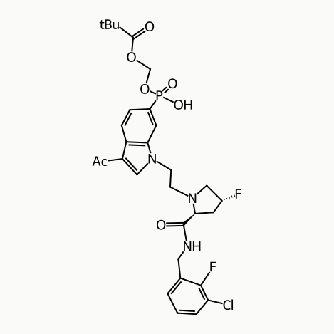 CC(=O)c1cn(CCN2C[C@H](F)C[C@H]2C(=O)NCc2cccc(Cl)c2F)c2cc(P(=O)(O)OCOC(=O)C(C)(C)C)ccc12